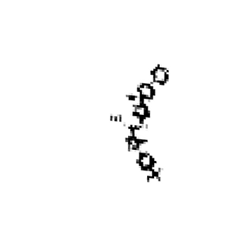 Cc1c(C(=O)Nc2ccc([C@]3(C#N)CC[C@@H](N4CCOCC4)CC3)nc2)cnn1-c1ccc(C(F)(F)F)cn1.Cl